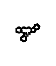 NC1Cc2ccccc2C1CCCC1CCCCN1Cc1ccccc1